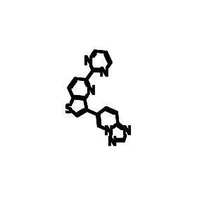 c1cnc(-c2ccc3scc(-c4ccc5ncnn5c4)c3n2)nc1